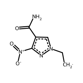 [CH2]Cn1cc(C(N)=O)c([N+](=O)[O-])n1